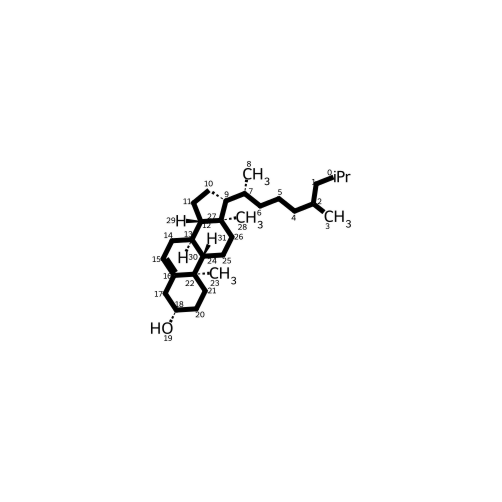 CC(C)CC(C)CCC[C@@H](C)[C@H]1CC[C@H]2[C@@H]3CC=C4C[C@@H](O)CC[C@]4(C)[C@H]3CC[C@]12C